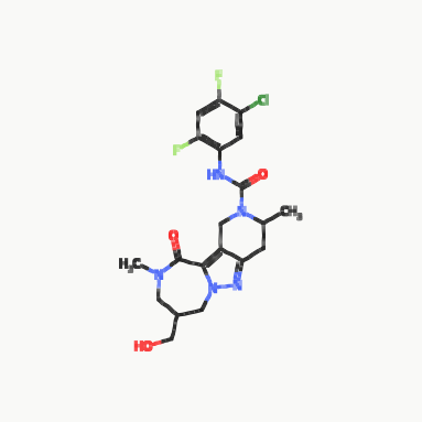 CC1Cc2nn3c(c2CN1C(=O)Nc1cc(Cl)c(F)cc1F)C(=O)N(C)CC(CO)C3